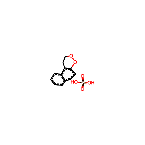 O=S(=O)(O)O.c1ccc2c3c(ccc2c1)OOCC3